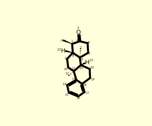 C[C@H]1C(=O)CC[C@]2(C)[C@@H]1CC[C@]1(C)c3ccccc3CC[C@@H]21